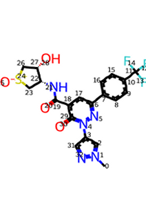 Cn1cc(-n2nc(-c3ccc(C(F)(F)F)cc3)cc(C(=O)N[C@@H]3C[S+]([O-])C[C@@H]3O)c2=O)cn1